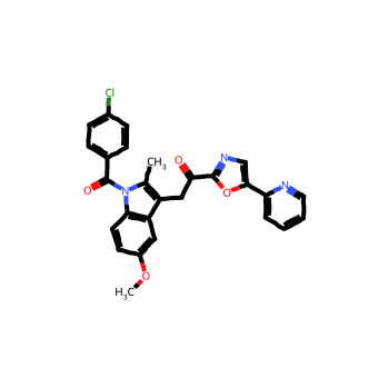 COc1ccc2c(c1)c(CC(=O)c1ncc(-c3ccccn3)o1)c(C)n2C(=O)c1ccc(Cl)cc1